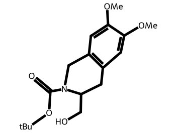 COc1cc2c(cc1OC)CN(C(=O)OC(C)(C)C)C(CO)C2